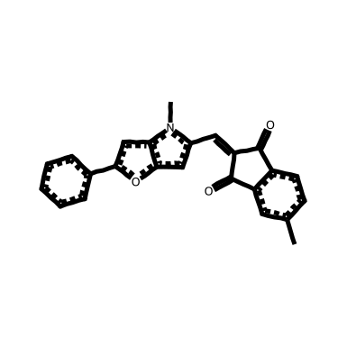 Cc1ccc2c(c1)C(=O)/C(=C\c1cc3oc(-c4ccccc4)cc3n1C)C2=O